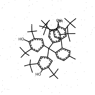 Cc1ccc(C(c2cc(C(C)(C)C)c(O)c(C(C)(C)C)c2)(c2cc(C(C)(C)C)c(O)c(C(C)(C)C)c2)c2cc(C(C)(C)C)c(O)c(C(C)(C)C)c2)c(-c2cc(C(C)(C)C)c(O)c(C(C)(C)C)c2)c1